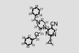 N#Cc1cnc(C2CC2)nc1N1CCN(Cc2ccccc2)C[C@H]1COCc1ccccc1